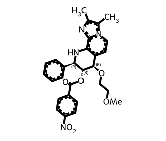 COCCO[C@@H]1c2ccn3c(C)c(C)nc3c2N[C@H](c2ccccc2)[C@H]1OC(=O)c1ccc([N+](=O)[O-])cc1